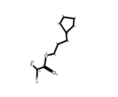 O=C(OCCCC1CCCC1)C(F)F